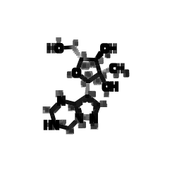 C[C@@]1(O)[C@H](O)[C@@H](CO)O[C@H]1c1cnn2c1N=CNC2